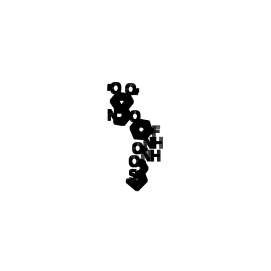 COc1cc2nccc(Oc3ccc(NC(=O)NC(=O)Cc4cccs4)c(F)c3)c2cc1OC